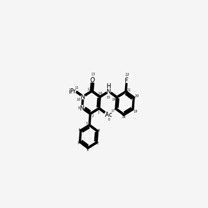 CC(=O)c1c(-c2ccccc2)nn(C(C)C)c(=O)c1Nc1ccccc1F